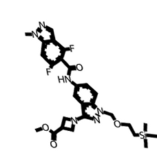 COC(=O)C1CN(c2nn(COCC[Si](C)(C)C)c3ccc(NC(=O)c4c(F)cc5c(cnn5C)c4F)cc23)C1